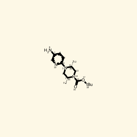 C[C@@H]1CN(c2ccc(N)cn2)[C@H](C)CN1C(=O)OC(C)(C)C